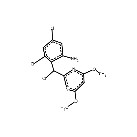 COc1cc(OC)nc(C(Cl)c2c(N)cc(Cl)cc2Cl)n1